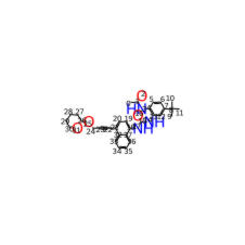 CC(=O)Nc1ccc(C(C)(C)C)cc1NC(=O)Nc1ccc(C#CCOC2CCCCO2)c2ccccc12